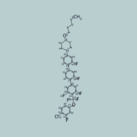 CCCCCOC1CCC(c2ccc(-c3ccc(-c4cc(F)c(C(F)(F)Oc5ccc(Cl)c(F)c5)c(F)c4)c(F)c3)c(F)c2)CC1